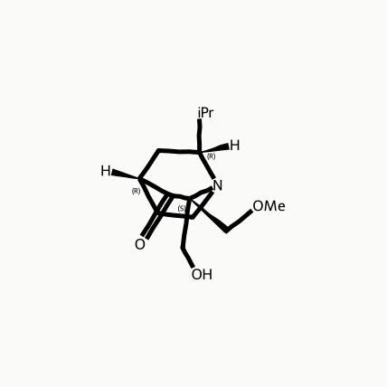 COC[C@@]1(CO)C(=O)[C@@H]2CCN1[C@@H](C(C)C)C2